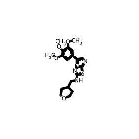 COc1cc(-c2cnc3sc(NCC4CCOCC4)nn23)cc(OC)c1OC